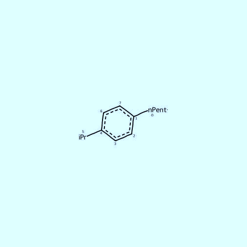 CCCC[CH]c1ccc(C(C)C)cc1